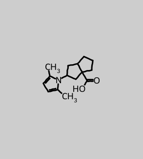 Cc1ccc(C)n1C1CC2CCCC2(C(=O)O)C1